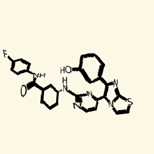 O=C(Nc1ccc(F)cc1)C1CCC[C@@H](Nc2nccc(-c3c(-c4cccc(O)c4)nc4sccn34)n2)C1